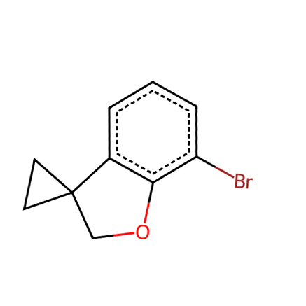 Brc1cccc2c1OCC21CC1